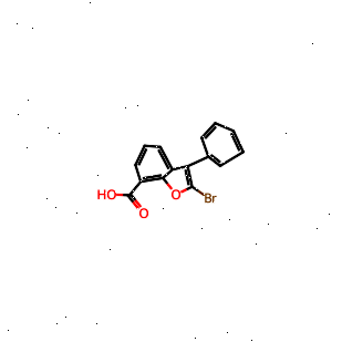 O=C(O)c1cccc2c(-c3ccccc3)c(Br)oc12